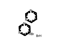 Br.Br.c1cncnc1.c1cncnc1